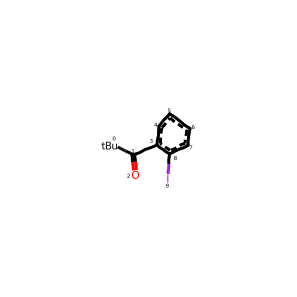 CC(C)(C)C(=O)c1ccccc1I